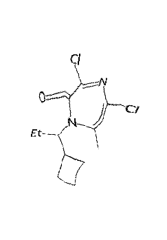 CCC(C1CCC1)n1c(C)c(Cl)nc(Cl)c1=O